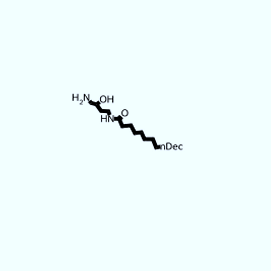 CCCCCCCCCCCCCCCCCC(=O)NCCC(O)CN